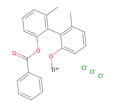 Cc1cccc([O][Ti+3])c1-c1c(C)cccc1OC(=O)c1ccccc1.[Cl-].[Cl-].[Cl-]